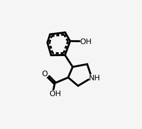 O=C(O)C1CNCC1c1ccccc1O